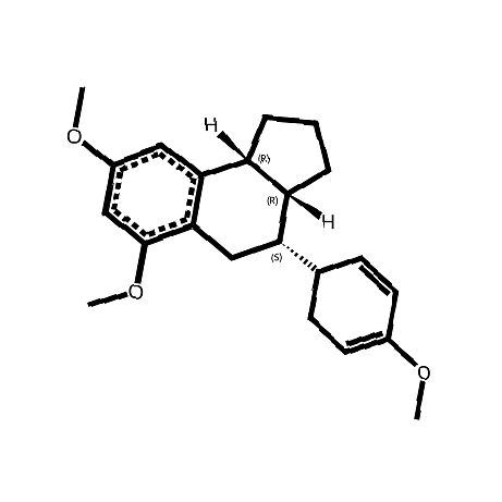 COC1=CCC([C@@H]2Cc3c(OC)cc(OC)cc3[C@@H]3CCC[C@@H]32)C=C1